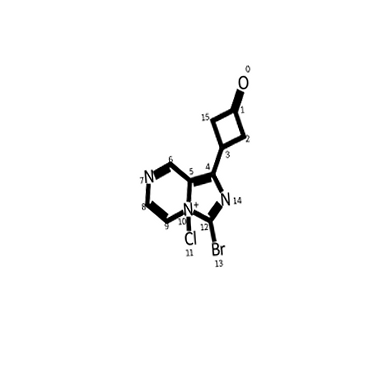 O=C1CC(C2=C3C=NC=C[N+]3(Cl)C(Br)=N2)C1